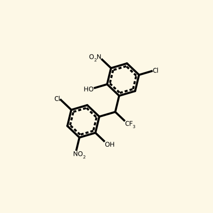 O=[N+]([O-])c1cc(Cl)cc(C(c2cc(Cl)cc([N+](=O)[O-])c2O)C(F)(F)F)c1O